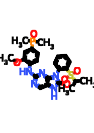 COc1cc(P(C)(C)=O)ccc1Nc1ncc2[nH]c(=O)n(-c3ccccc3S(=O)(=O)C(C)C)c2n1